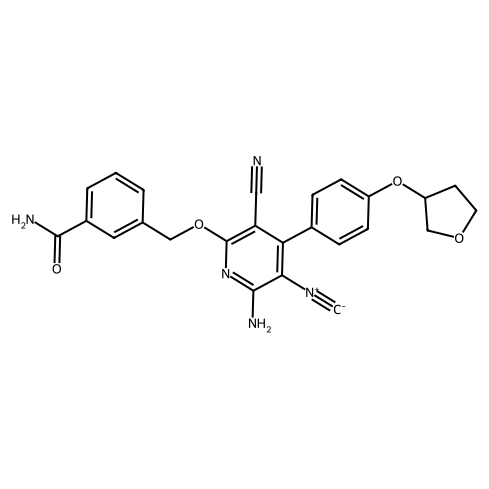 [C-]#[N+]c1c(N)nc(OCc2cccc(C(N)=O)c2)c(C#N)c1-c1ccc(OC2CCOC2)cc1